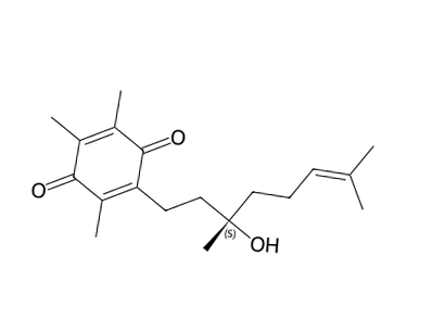 CC(C)=CCC[C@](C)(O)CCC1=C(C)C(=O)C(C)=C(C)C1=O